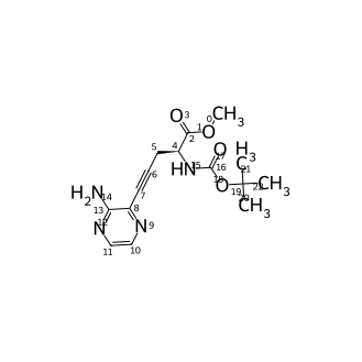 COC(=O)[C@H](CC#Cc1nccnc1N)NC(=O)OC(C)(C)C